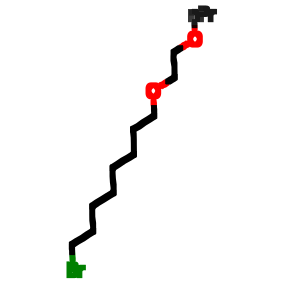 CCCOCCOCCCCCCCCBr